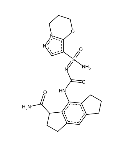 NC(=O)C1CCc2cc3c(c(NC(=O)N=S(N)(=O)c4cnn5c4OCCC5)c21)CCC3